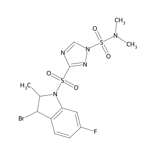 CC1C(Br)c2ccc(F)cc2N1S(=O)(=O)c1ncn(S(=O)(=O)N(C)C)n1